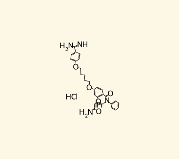 CC(C)N(C(=O)c1ccc(OCCCCCOc2ccc(C(=N)N)cc2)cc1OCC(N)=O)c1ccccc1.Cl